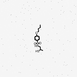 CCCCOc1ccc(S(=O)(=O)NCC(C)S)cc1